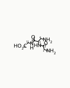 NCC(=O)NC(CN)C(=O)NCC(=O)O